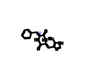 CC(C)(C)c1[nH]cnc1C=c1[nH]c(=O)/c(=C/c2ccccc2)[nH]c1=O